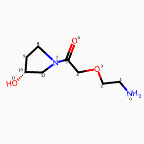 NCCOCC(=O)N1CC[C@@H](O)C1